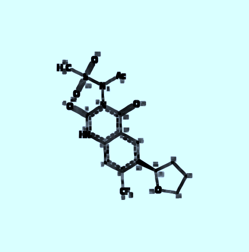 CC(=O)N(n1c(=O)[nH]c2cc(C(F)(F)F)c([C@H]3CCCO3)cc2c1=O)S(C)(=O)=O